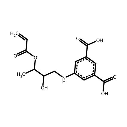 C=CC(=O)OC(C)C(O)CNc1cc(C(=O)O)cc(C(=O)O)c1